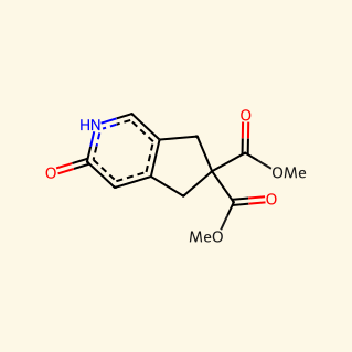 COC(=O)C1(C(=O)OC)Cc2c[nH]c(=O)cc2C1